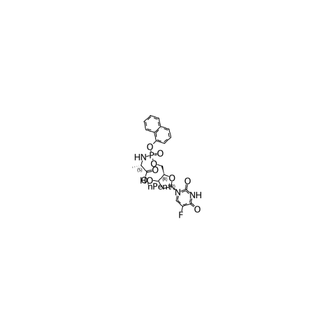 CCCCCOC(=O)[C@H](C)NP(=O)(OC[C@H]1O[C@@H](n2cc(F)c(=O)[nH]c2=O)CC1O)Oc1cccc2ccccc12